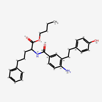 CCCCOC(=O)C(CCCc1ccccc1)NC(=O)c1ccc(N)c(CCc2ccc(O)cc2)c1